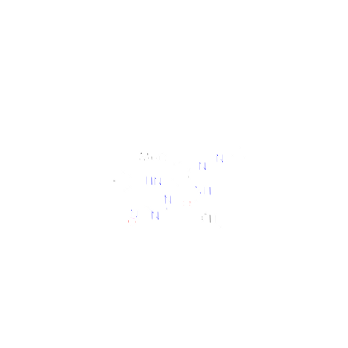 C=CC(=O)Nc1cc(Nc2cc(N3OCC[C@@H]3c3ccccc3)ncn2)c(OC)cc1N1CCN(C2CC2)CC1